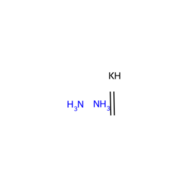 C=C.N.N.[KH]